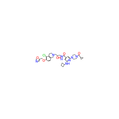 O=C(NCC(O)CN1CCc2c(ccc(OCc3cnco3)c2Cl)C1)c1cc(NC2CCC2)nc(N2CCN(C(=O)C3CC3)CC2)c1